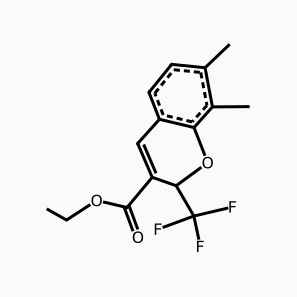 CCOC(=O)C1=Cc2ccc(C)c(C)c2OC1C(F)(F)F